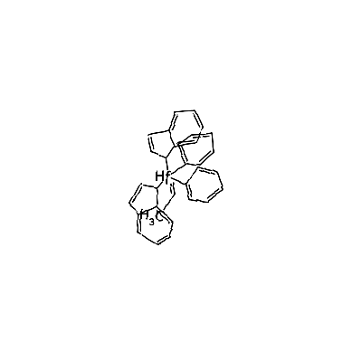 C[CH]=[Hf]([c]1ccccc1)([c]1ccccc1)([CH]1C=Cc2ccccc21)[CH]1C=Cc2ccccc21